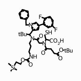 CC(C)(C)OC(=O)CCC(=O)N(CC(=O)N(CCCNC(=O)OCC[Si](C)(C)C)C(c1cc(-c2cc(F)ccc2F)cn1Cc1ccccc1)C(C)(C)C)C(CS)C(=O)O